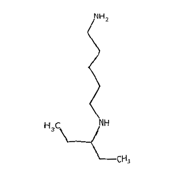 CCC(CC)NCCCCCN